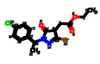 CCOC(=O)CC1C(=O)N(C(C)c2ccc(Cl)cc2)N=C1Br